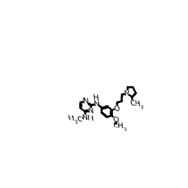 CNc1ccnc(Nc2ccc(OC)c(OCCCN3CCCC3C)c2)n1